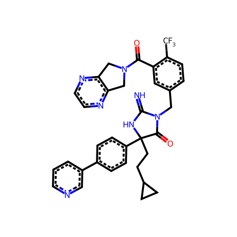 N=C1NC(CCC2CC2)(c2ccc(-c3cccnc3)cc2)C(=O)N1Cc1ccc(C(F)(F)F)c(C(=O)N2Cc3nccnc3C2)c1